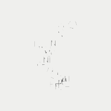 O=C(N[C@H]1CCCC[C@H]2CC[C@@H](C(=O)N3CC4(CN(C(=O)Cc5ccccc5)C4)C3)N2C1=O)c1cc2cc(C(F)(F)P(=O)(O)O)ccc2s1